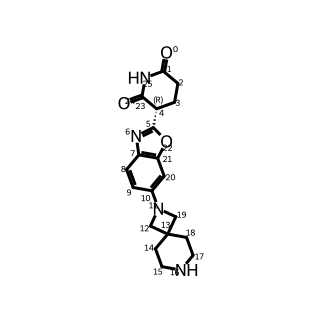 O=C1CC[C@H](c2nc3ccc(N4CC5(CCNCC5)C4)cc3o2)C(=O)N1